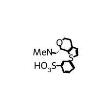 CNC[C@@H]1OCCc2ccsc21.O=S(=O)(O)c1ccccc1